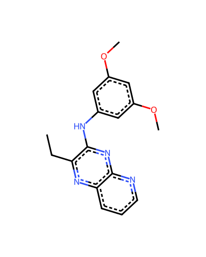 CCc1nc2cccnc2nc1Nc1cc(OC)cc(OC)c1